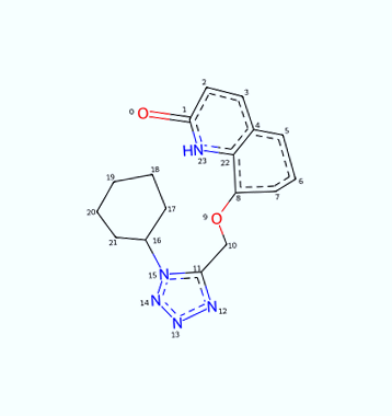 O=c1ccc2cccc(OCc3nnnn3C3CCCCC3)c2[nH]1